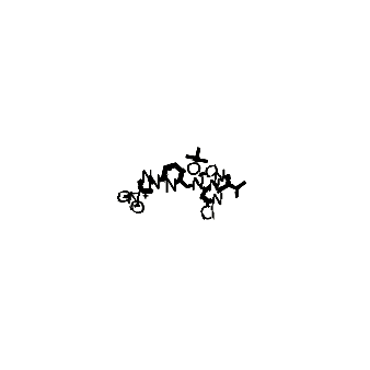 CC(C)c1cnn2c(N(Cc3cccc(-n4cc([N+](=O)[O-])cn4)n3)C(=O)OC(C)(C)C)cc(Cl)nc12